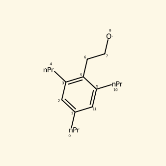 CCCc1cc(CCC)c(CC[O])c(CCC)c1